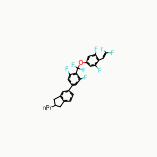 CCCC1Cc2ccc(-c3cc(F)c(C(F)(F)Oc4cc(F)c(C=C(F)F)c(F)c4)c(F)c3)cc2C1